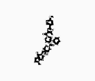 COc1ccc(-c2nc(C)c(C(=O)N3CC[C@@H](C(=O)N4CCC(O)(Cn5cnc6c(ccn6C)c5=O)CC4)[C@H](c4ccccc4)C3)s2)cn1